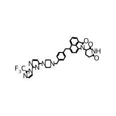 O=C1CCC(N2C(=O)c3cccc4c(Cc5ccc(CN6CCN(c7ccnc(-n8ccnc8C(F)(F)F)n7)CC6)cc5)ccc2c34)C(=O)N1